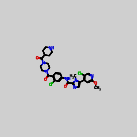 COc1cc(-c2cnc(C(=O)Nc3ccc(C(=O)N4CCN(C(=O)C5CCNCC5)CC4)c(Cl)c3)n2C)c(Cl)cn1